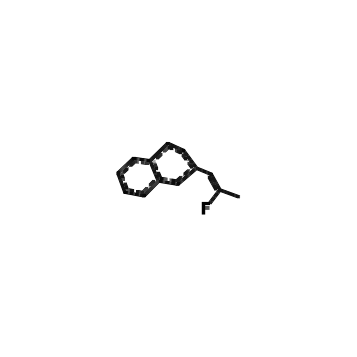 CC(F)=Cc1ccc2ccccc2c1